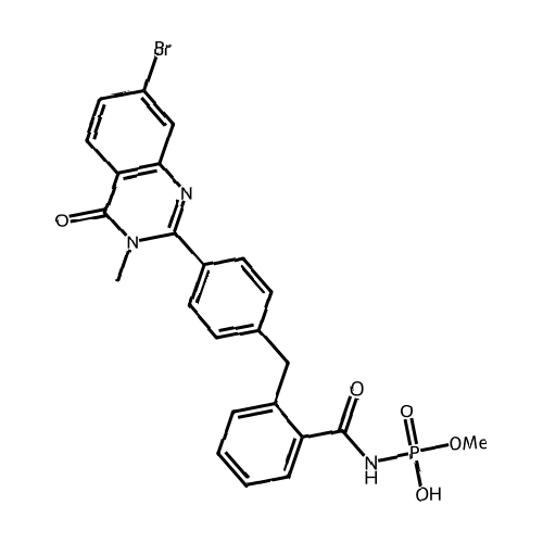 COP(=O)(O)NC(=O)c1ccccc1Cc1ccc(-c2nc3cc(Br)ccc3c(=O)n2C)cc1